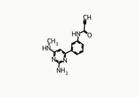 C#CC(=O)Nc1cccc(-c2cc(NC)nc(N)n2)c1